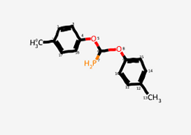 Cc1ccc(OC(P)Oc2ccc(C)cc2)cc1